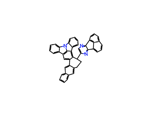 c1ccc2cc3c(cc2c1)CCC(c1cnc2c(n1)-c1cccc4cccc-2c14)c1c-3cc2c3ccccc3n3c4ccccc4c1c23